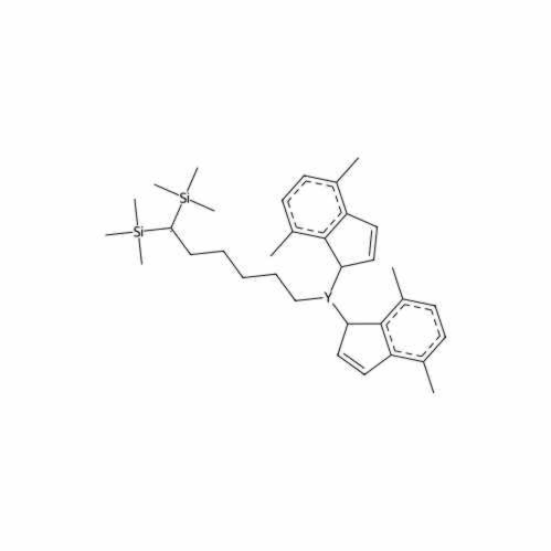 Cc1ccc(C)c2c1C=C[CH]2[Y]([CH2]CCCC[C]([Si](C)(C)C)[Si](C)(C)C)[CH]1C=Cc2c(C)ccc(C)c21